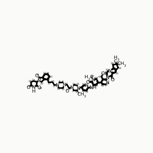 C[C@H]1CN(C(=O)CN2CCN(CCCc3cccc4c3CN(C3CCC(=O)NC3=O)C4=O)CC2)CCN1c1ccc(Nc2cc(-c3ccnc(N4CCn5c(cc6c5CC(C)(C)C6)C4=O)c3CO)cn(C)c2=O)nc1